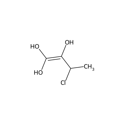 CC(Cl)C(O)=C(O)O